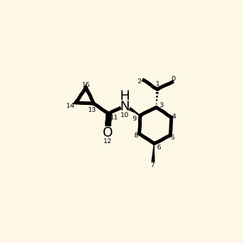 CC(C)[C@@H]1CC[C@@H](C)C[C@H]1NC(=O)C1CC1